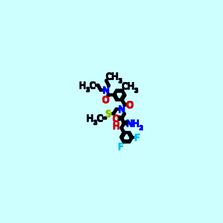 CCCN(CCC)C(=O)c1cc(C)cc(C(=O)N(CCSCC)C[C@@H](O)[C@@H](N)Cc2cc(F)cc(F)c2)c1